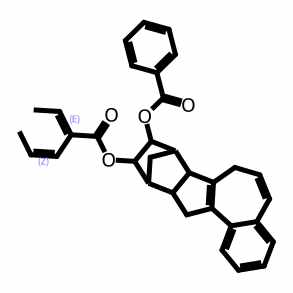 C/C=C\C(=C/C)C(=O)OC1C2CC(C1OC(=O)c1ccccc1)C1C3=C(CC21)c1ccccc1C=CC3